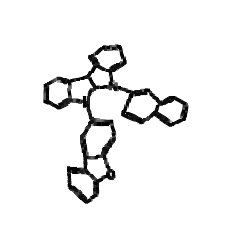 c1ccc2c(c1)C1c3ccccc3N(c3ccc4oc5ccccc5c4c3)C1N2c1ccc2ccccc2c1